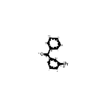 [CH2]C(C)c1cccc(C(=O)c2ccccc2)c1